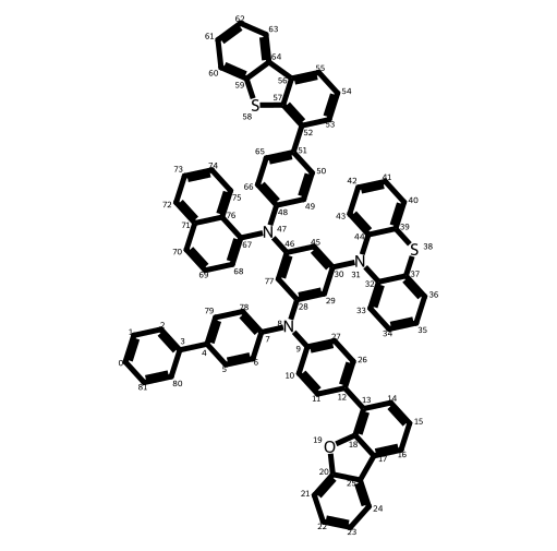 c1ccc(-c2ccc(N(c3ccc(-c4cccc5c4oc4ccccc45)cc3)c3cc(N4c5ccccc5Sc5ccccc54)cc(N(c4ccc(-c5cccc6c5sc5ccccc56)cc4)c4cccc5ccccc45)c3)cc2)cc1